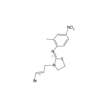 Cc1cc([N+](=O)[O-])ccc1/N=C1\SCCN1C/C=C/Br